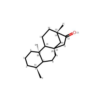 C[C@H]1CCC[C@]2(C)C1CC[C@@]13CC(=O)[C@@](C)(CCC12)C3